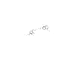 CCCC(=O)c1ccc(OCCCCCOc2ccc(C(=O)CCC)c(O)c2C)c(C)c1O